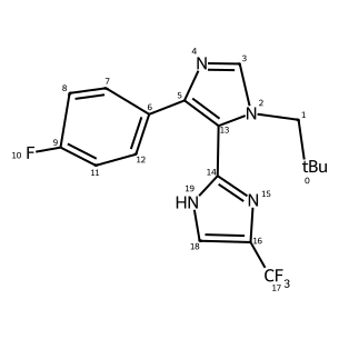 CC(C)(C)Cn1cnc(-c2ccc(F)cc2)c1-c1nc(C(F)(F)F)c[nH]1